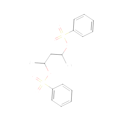 CCCC(CC(CCC)OS(=O)(=O)c1ccccc1)OS(=O)(=O)c1ccccc1